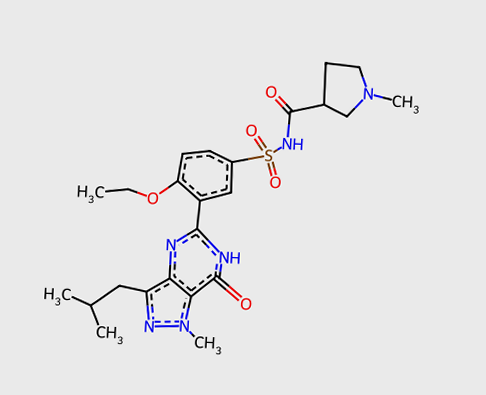 CCOc1ccc(S(=O)(=O)NC(=O)C2CCN(C)C2)cc1-c1nc2c(CC(C)C)nn(C)c2c(=O)[nH]1